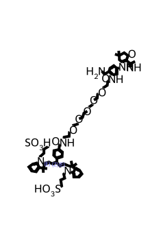 CC(=N)C1=C(Nc2ccc(C(N)=O)c(NCCCOCCOCCOCCOCCOCCCNC(=O)c3ccc(C(=C\C=C4\N(CCCCS(=O)(=O)O)c5ccccc5C4(C)C)/C=C/C4=[N+](CCCCS(=O)(=O)O)c5ccccc5C4(C)C)cc3)c2)CC(C)(C)CC1=O